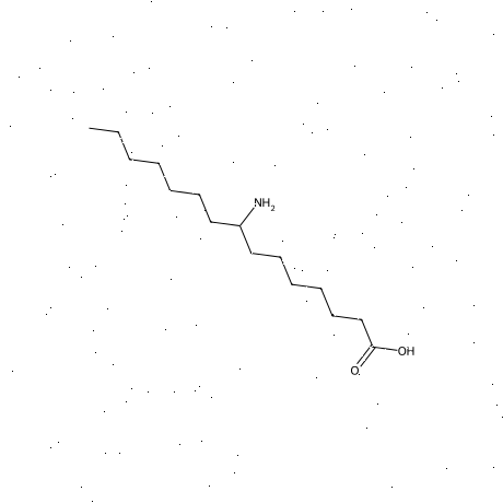 CCCCCCCC(N)CCCCCCC(=O)O